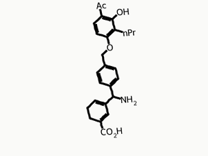 CCCc1c(OCc2ccc(C(N)C3=CCCC(C(=O)O)=C3)cc2)ccc(C(C)=O)c1O